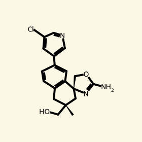 C[C@@]1(CO)Cc2ccc(-c3cncc(Cl)c3)cc2[C@@]2(COC(N)=N2)C1